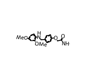 COc1ccc(NCc2ccc(OCC([NH])=O)cc2)c(OC)c1